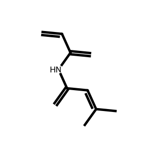 C=CC(=C)NC(=C)C=C(C)C